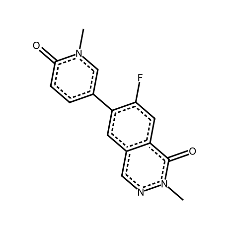 Cn1cc(-c2cc3cnn(C)c(=O)c3cc2F)ccc1=O